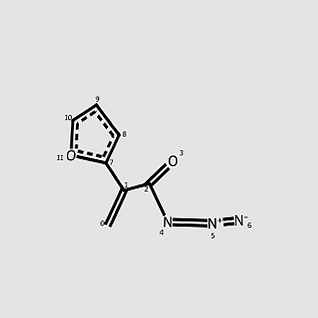 C=C(C(=O)N=[N+]=[N-])c1ccco1